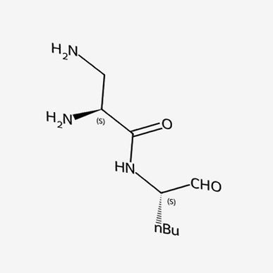 CCCC[C@@H](C=O)NC(=O)[C@@H](N)CN